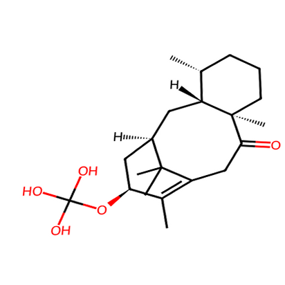 CC1=C2CC(=O)[C@]3(C)CCC[C@@H](C)[C@H]3C[C@H](C[C@@H]1OC(O)(O)O)C2(C)C